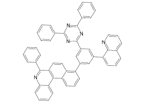 c1ccc(-c2nc(-c3ccccc3)nc(-c3cc(-c4cccc5c4ccc4c(-c6ccccc6)nc6ccccc6c45)cc(-c4cccc5cccnc45)c3)n2)cc1